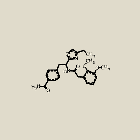 CCc1csc(C(Cc2ccc(C(N)=O)cc2)NC(=O)Cc2cccc(OC)c2OC)n1